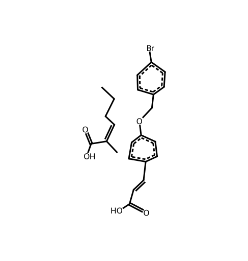 CCCC=C(C)C(=O)O.O=C(O)C=Cc1ccc(OCc2ccc(Br)cc2)cc1